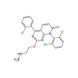 BNCCOc1nc(-c2ccccc2Cl)c2ccc(=O)n(-c3c(Cl)cccc3Cl)c2n1